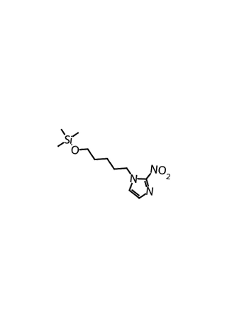 C[Si](C)(C)OCCCCCn1ccnc1[N+](=O)[O-]